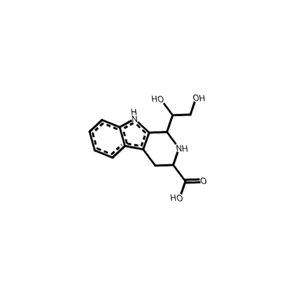 O=C(O)C1Cc2c([nH]c3ccccc23)C(C(O)CO)N1